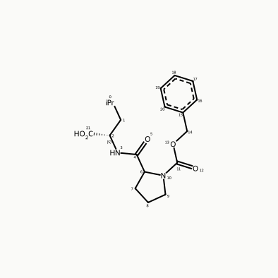 CC(C)C[C@H](NC(=O)C1CCCN1C(=O)OCc1ccccc1)C(=O)O